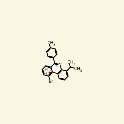 Cc1ccc(/C(=N/c2c(C(C)C)cccc2C(C)C)c2cccc(Br)c2)cc1